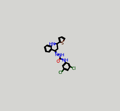 O=C(NN=C1CC(c2cccs2)Nc2ccccc21)Nc1cc(Cl)cc(Cl)c1